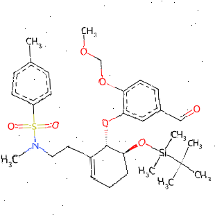 COCOc1ccc(C=O)cc1O[C@H]1C(CCN(C)S(=O)(=O)c2ccc(C)cc2)=CCC[C@@H]1O[Si](C)(C)C(C)(C)C